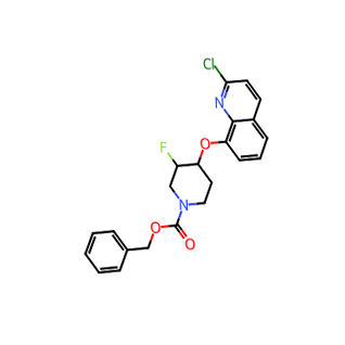 O=C(OCc1ccccc1)N1CCC(Oc2cccc3ccc(Cl)nc23)C(F)C1